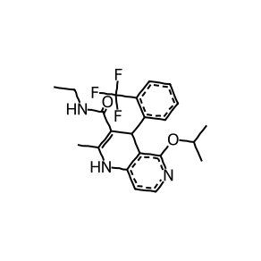 CCNC(=O)C1=C(C)Nc2ccnc(OC(C)C)c2C1c1ccccc1C(F)(F)F